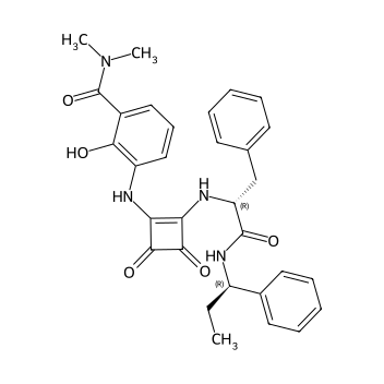 CC[C@@H](NC(=O)[C@@H](Cc1ccccc1)Nc1c(Nc2cccc(C(=O)N(C)C)c2O)c(=O)c1=O)c1ccccc1